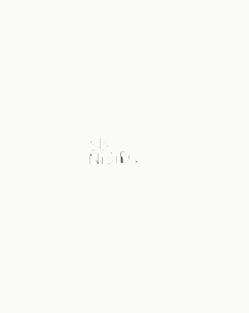 [Dy].[Ni].[Sb].[Sn]